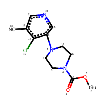 CC(C)(C)OC(=O)N1CCN(c2cncc(C#N)c2Cl)CC1